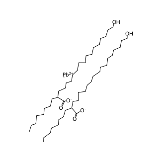 CCCCCCCCC(CCCCCCCCCCCCCCCCO)C(=O)[O-].CCCCCCCCC(CCCCCCCCCCCCCCCCO)C(=O)[O-].[Pb+2]